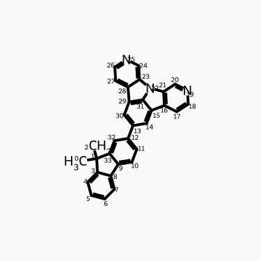 CC1(C)c2ccccc2-c2ccc(-c3cc4c5ccncc5n5c6cnccc6c(c3)c45)cc21